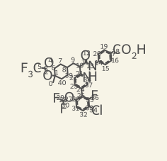 CC1(OC(=O)C(F)(F)F)CCC(CC(C(=O)Nc2ccc(C(=O)O)cc2)c2ccc(-c3c(OC(F)F)ccc(Cl)c3F)cn2)CC1